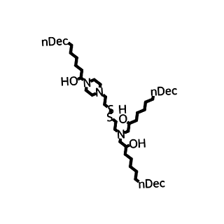 CCCCCCCCCCCCCCCC(O)CN(CCSSCCN1CCN(C(O)CCCCCCCCCCCCCCC)CC1)CC(O)CCCCCCCCCCCCCCC